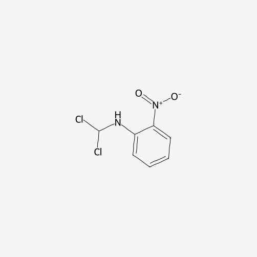 O=[N+]([O-])c1ccccc1NC(Cl)Cl